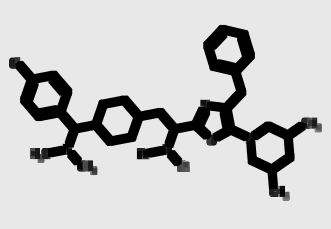 CCN(CC)C(CC1CCC(C(c2ccc(Cl)cc2)N(C)C)CC1)c1nc(Cc2ccccc2)c(N2CC(C)CC(C)C2)o1